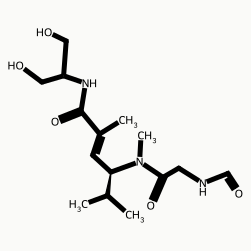 C/C(=C\[C@H](C(C)C)N(C)C(=O)CNC=O)C(=O)NC(CO)CO